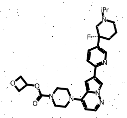 CC(C)N1CCC[C@@](F)(c2ccc(-c3cc4c(N5CCN(C(=O)OC6COC6)CC5)ccnn4c3)nc2)C1